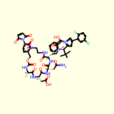 C[C@H](NC(=O)OCc1ccccc1)C(=O)N[C@@H](CC(=O)O)C(=O)N[C@@H](CC(N)=O)C(=O)N[C@@H](CCN(C(=O)CO)[C@@H](c1cc(-c2cc(F)ccc2F)cn1Cc1ccccc1)C(C)(C)C)C(=O)NCCNC(=O)CN1C(=O)C=CC1=O